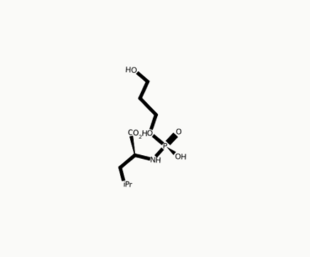 CC(C)C[C@H](N[P@](=O)(O)OCCCO)C(=O)O